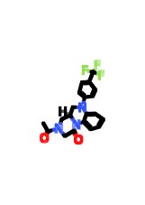 CC(=O)N1CC(=O)N2c3ccccc3N(c3ccc(C(F)(F)F)cc3)C[C@@H]2C1